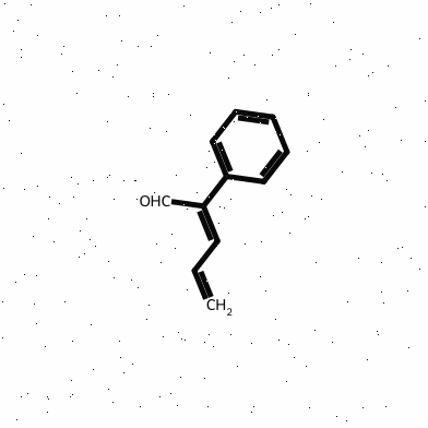 C=CC=C(C=O)c1ccccc1